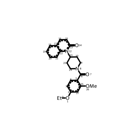 CCOc1ccc(C(=O)N2CCC(n3c(=O)ccc4ccccc43)CC2)c(OC)c1